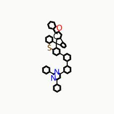 c1ccc(-c2cc(-c3cccc(-c4cccc(-c5ccc6c(c5)C5(c7ccccc7S6)c6ccccc6-c6cc7oc8ccccc8c7cc65)c4)c3)nc(-c3ccccc3)n2)cc1